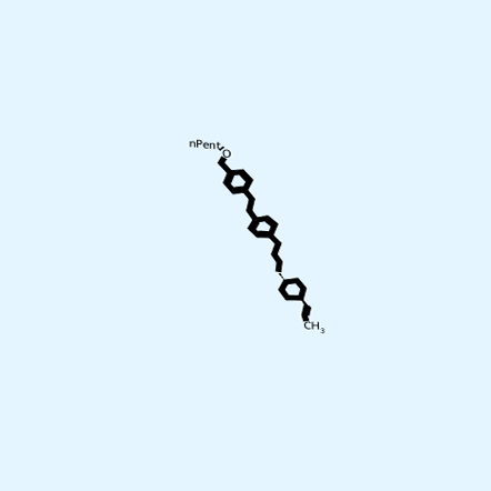 CC=C[C@H]1CC[C@H](CCCCc2ccc(CCc3ccc(COCCCCC)cc3)cc2)CC1